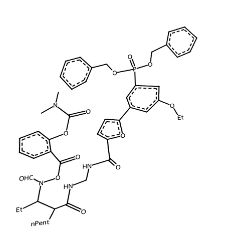 CCCCCC(C(=O)NCNC(=O)c1ccc(-c2cc(OCC)cc(P(=O)(OCc3ccccc3)OCc3ccccc3)c2)o1)C(CC)N(C=O)OC(=O)c1ccccc1OC(=O)N(C)C